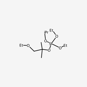 CCOCC(C)(C)O[Si](OCC)(OCC)OC(C)C